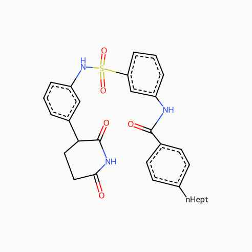 CCCCCCCc1ccc(C(=O)Nc2cccc(S(=O)(=O)Nc3cccc(C4CCC(=O)NC4=O)c3)c2)cc1